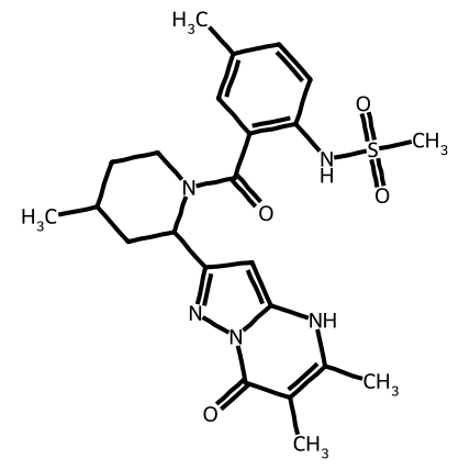 Cc1ccc(NS(C)(=O)=O)c(C(=O)N2CCC(C)CC2c2cc3[nH]c(C)c(C)c(=O)n3n2)c1